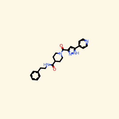 O=C(NCCc1ccccc1)C1CCN(C(=O)c2cc(-c3ccncc3)[nH]n2)CC1